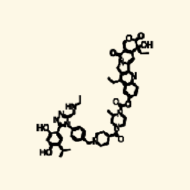 CCNCc1nnc(-c2cc(C(C)C)c(O)cc2O)n1-c1ccc(CN2CCC(C(=O)N3CCN(C(=O)Oc4ccc5nc6c(c(CC)c5c4)Cn4c-6cc5c(c4=O)COC(=O)C5(O)CC)C(C)C3)CC2)cc1